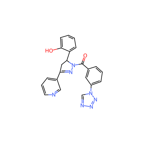 O=C(c1cccc(-n2cnnn2)c1)N1N=C(c2cccnc2)CC1c1ccccc1O